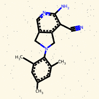 Cc1cc(C)c(N2Cc3cnc(N)c(C#N)c3C2)c(C)c1